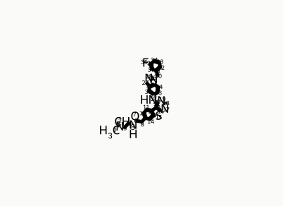 CN(C)CCNC(=O)Cc1ccc2c(c1)sc1ncnc(Nc3ccc4c(cnn4Cc4cccc(F)c4)c3)c12